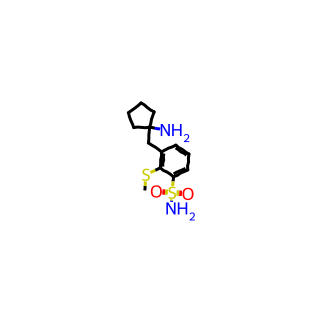 CSc1c(CC2(N)CCCC2)cccc1S(N)(=O)=O